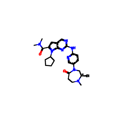 CC[C@@H]1CN(c2ccc(Nc3ncc4cc(C(=O)N(C)C)n(C5CCCC5)c4n3)nc2)C(=O)CCN1C